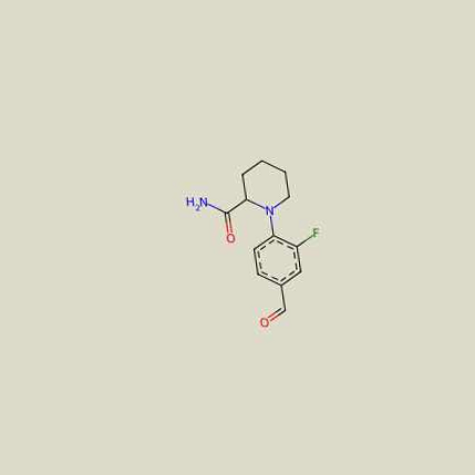 NC(=O)C1CCCCN1c1ccc(C=O)cc1F